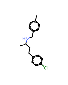 Cc1ccc(CN[C@H](C)CCc2ccc(Cl)cc2)cc1